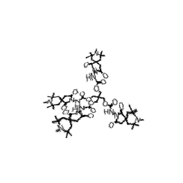 CN1C(C)(C)CC2(CC(=O)N(NC(=O)OCC(COC(=O)NN3C(=O)CC4(CC(C)(C)N(C)C(C)(C)C4)C3=O)(COC(=O)NN3C(=O)CC4(CC(C)(C)N(C)C(C)(C)C4)C3=O)COC(=O)NN3C(=O)CC4(CC(C)(C)N(C)C(C)(C)C4)C3=O)C2=O)CC1(C)C